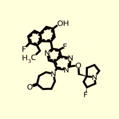 CCc1c(F)ccc2cc(O)cc(-c3ncc4c(N5CCCC(=O)CC5)nc(OC[C@@]56CCCN5C[C@H](F)C6)nc4c3F)c12